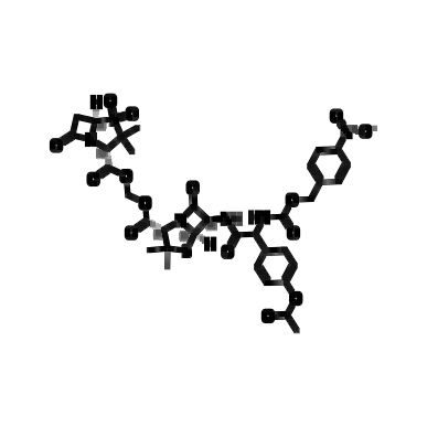 CC(=O)Oc1ccc(C(NC(=O)OCc2ccc([N+](=O)[O-])cc2)C(=O)N[C@@H]2C(=O)N3[C@@H]2SC(C)(C)[C@@H]3C(=O)OCOC(=O)[C@@H]2N3C(=O)C[C@H]3S(=O)(=O)C2(C)C)cc1